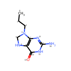 CCCN1CNc2c1nc(N)[nH]c2=O